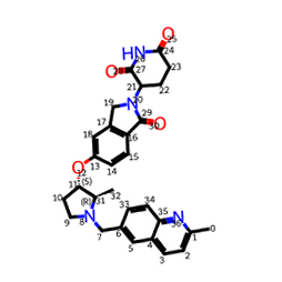 Cc1ccc2cc(CN3CC[C@H](Oc4ccc5c(c4)CN(C4CCC(=O)NC4=O)C5=O)[C@H]3C)ccc2n1